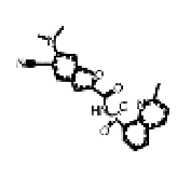 Cc1ccc2cccc(S(=O)(=O)NC(=O)c3cc4cc(C#N)c(N(C)C)cc4o3)c2n1